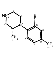 C[C@@H]1CNCCN1c1ccc(C(F)(F)F)cc1F